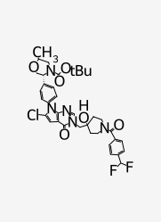 C[C@H]1CN(C(=O)OC(C)(C)C)[C@H](c2ccc(-n3c(Cl)cc4c(=O)n(CC5(O)CCN(C(=O)c6ccc(C(F)F)cc6)CC5)cnc43)cc2)CO1